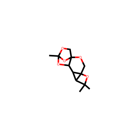 CC12OCC3(OCC45OC(C)(C)C4C5C3O1)O2